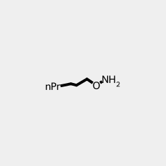 CCCCCCON